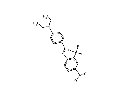 CCN(CC)c1ccc(/N=N/c2ccc([N+](=O)[O-])cc2C(F)(F)F)cc1